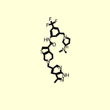 Cc1n[nH]c2ncc(CN3CCc4c(C(=O)Nc5cc(CN6CC[C@@H](N(C)C)C6)cc(C(F)(F)F)c5)csc4C3)cc12